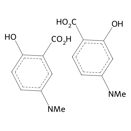 CNc1ccc(C(=O)O)c(O)c1.CNc1ccc(O)c(C(=O)O)c1